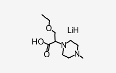 CCOCC(C(=O)O)N1CCN(C)CC1.[LiH]